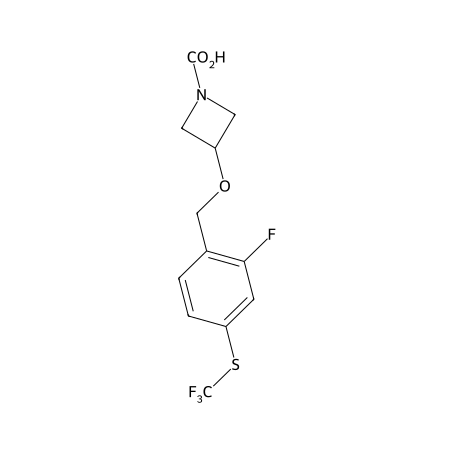 O=C(O)N1CC(OCc2ccc(SC(F)(F)F)cc2F)C1